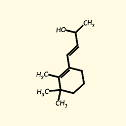 CC1=C(C=CC(C)O)CCCC1(C)C